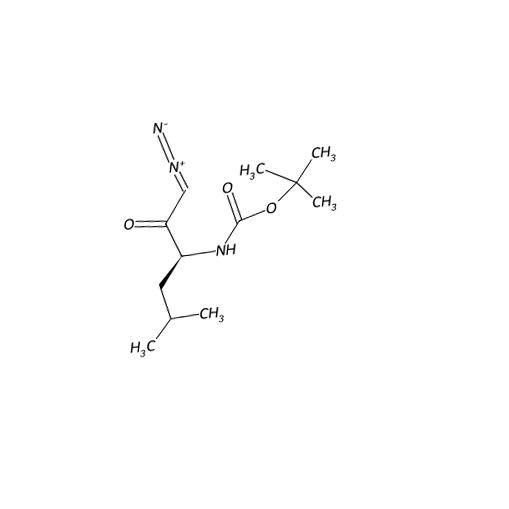 CC(C)C[C@H](NC(=O)OC(C)(C)C)C(=O)C=[N+]=[N-]